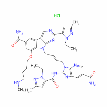 CCn1nc(C)cc1C(=O)Nc1nc2cc(C(N)=O)cnc2n1CC=CCn1c2nc(-c3cc(C)nn3CC)ncc2c2cc(C(N)=O)cc(OCCCCNC)c21.Cl